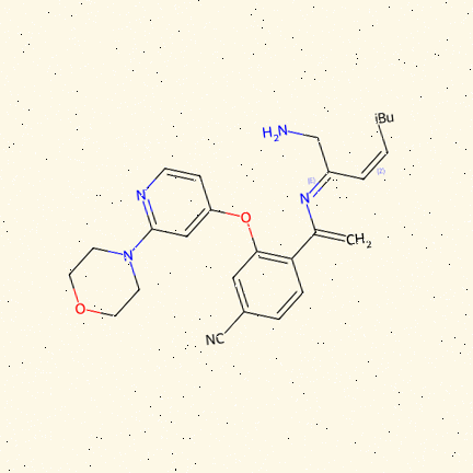 C=C(/N=C(\C=C/C(C)CC)CN)c1ccc(C#N)cc1Oc1ccnc(N2CCOCC2)c1